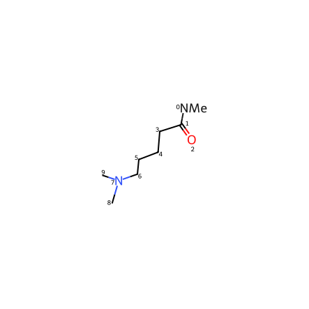 CNC(=O)CCCCN(C)C